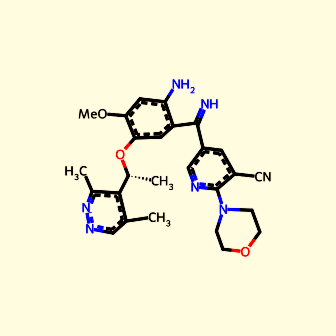 COc1cc(N)c(C(=N)c2cnc(N3CCOCC3)c(C#N)c2)cc1O[C@H](C)c1c(C)cnnc1C